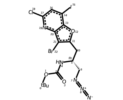 CC(C)(C)OC(=O)N[C@@H](CN=[N+]=[N-])Cc1oc2c(I)cc(Cl)nc2c1Br